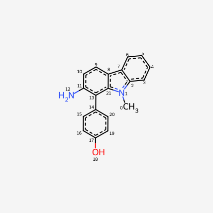 Cn1c2ccccc2c2ccc(N)c(-c3ccc(O)cc3)c21